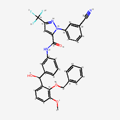 COc1cccc(C(O)c2cccc(NC(=O)c3cc(C(F)(F)F)nn3-c3cccc(C#N)c3)c2)c1OCc1ccccc1